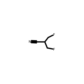 N#CC(CF)CF